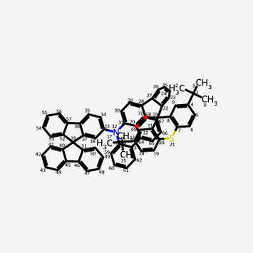 CC(C)(C)c1ccc2c(c1)C1(c3cc(C(C)(C)C)ccc3S2)c2ccccc2-c2ccc(N(c3ccc4c(c3)C3(c5ccccc5-c5ccccc53)c3ccccc3-4)c3ccccc3-c3ccccc3)cc21